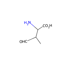 CC(C=O)C(N)C(=O)O